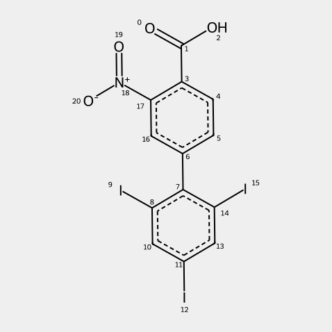 O=C(O)c1ccc(-c2c(I)cc(I)cc2I)cc1[N+](=O)[O-]